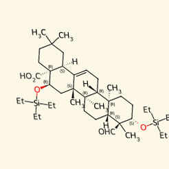 CC[Si](CC)(CC)O[C@H]1CC[C@]2(C)[C@H]3CC=C4[C@@H]5CC(C)(C)CC[C@]5(C(=O)O)[C@H](O[Si](CC)(CC)CC)C[C@@]4(C)[C@]3(C)CC[C@H]2[C@]1(C)C=O